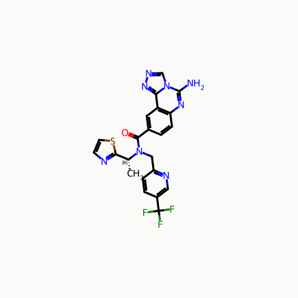 C[C@H](c1nccs1)N(Cc1ccc(C(F)(F)F)cn1)C(=O)c1ccc2nc(N)n3cnnc3c2c1